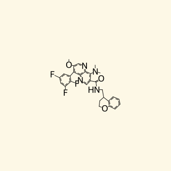 COc1cnc2c(N(C)C)c(C(=O)NCC3CCOc4ccccc43)cnc2c1-c1cc(F)cc(F)c1F